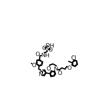 COc1cc(C(=O)NCCS(=O)(=O)O)ccc1Cn1cc(-c2cccc3c2OCCCN3C(=O)CCCOc2cccc(Cl)c2C)cn1